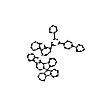 c1ccc(-c2ccc(-c3nc(-c4ccccc4)nc(-c4ccc(-n5c6ccccc6c6ccc7c(c65)-c5ccccc5C75c6ccccc6-c6ccccc65)c5c4oc4ccccc45)n3)cc2)cc1